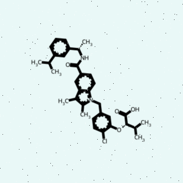 Cc1c(C)n(Cc2ccc(Cl)c(O[C@H](C(=O)O)C(C)C)c2)c2ccc(C(=O)N[C@@H](C)c3cccc(C(C)C)c3)cc12